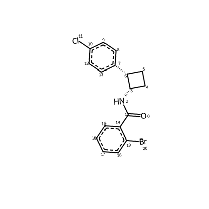 O=C(N[C@H]1CC[C@H]1c1ccc(Cl)cc1)c1ccccc1Br